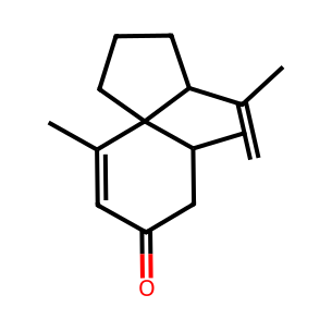 C=C(C)C1CCCC12C(C)=CC(=O)CC2C